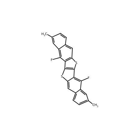 Cc1ccc2cc3sc4c(sc5cc6ccc(C)cc6c(F)c54)c3c(F)c2c1